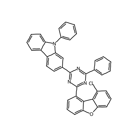 Clc1cccc2oc3cccc(-c4nc(-c5ccccc5)nc(-c5ccc6c7ccccc7n(-c7ccccc7)c6c5)n4)c3c12